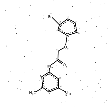 Cc1cc(NC(=O)COc2cccc(Br)c2)cc(C(F)(F)F)c1